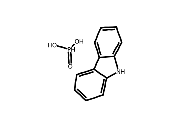 O=[PH](O)O.c1ccc2c(c1)[nH]c1ccccc12